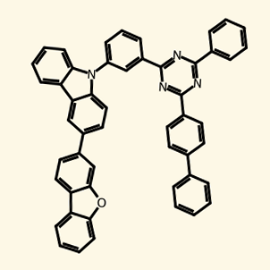 c1ccc(-c2ccc(-c3nc(-c4ccccc4)nc(-c4cccc(-n5c6ccccc6c6cc(-c7ccc8c(c7)oc7ccccc78)ccc65)c4)n3)cc2)cc1